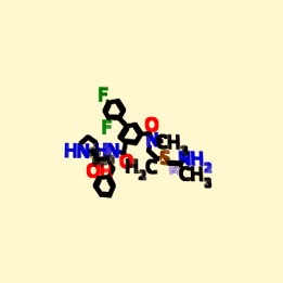 C=C(CN(C)C(=O)c1cc(C(=O)N[C@@H](Cc2ccccc2)[C@H](O)[C@H]2CCCN2)cc(-c2ccc(F)cc2F)c1)S/C=C(/C)N